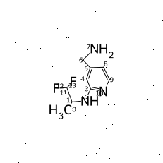 CC(Nc1cc(CN)ccn1)C(F)F